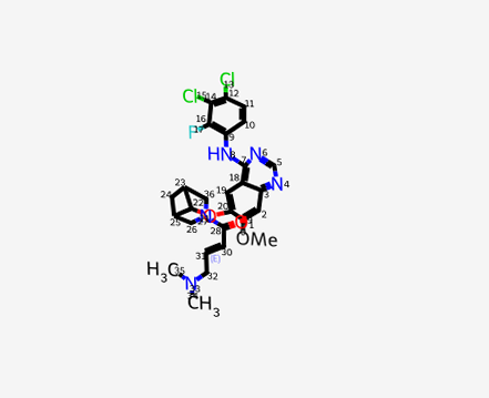 COc1cc2ncnc(Nc3ccc(Cl)c(Cl)c3F)c2cc1OC1C2CC1CN(C(=O)/C=C/CN(C)C)C2